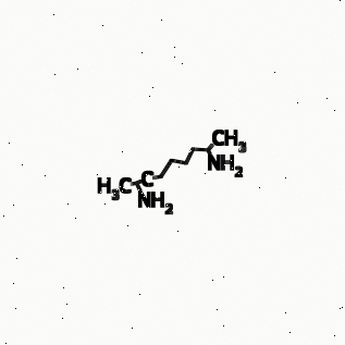 CC(N)CCCCCC(C)N